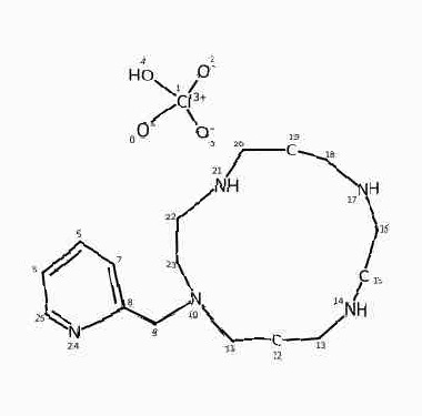 [O-][Cl+3]([O-])([O-])O.c1ccc(CN2CCCNCCNCCCNCC2)nc1